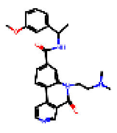 COc1cccc(C(C)NC(=O)c2ccc3c4ccncc4c(=O)n(CCN(C)C)c3c2)c1